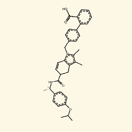 Cc1c2c(n(Cc3ccc(-c4ccccc4C(=O)O)cc3)c1C)C=CC(C(=O)N[C@@H](C)c1ccc(OC(C)C)cc1)C2